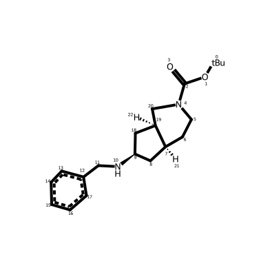 CC(C)(C)OC(=O)N1CC[C@H]2C[C@@H](NCc3ccccc3)C[C@H]2C1